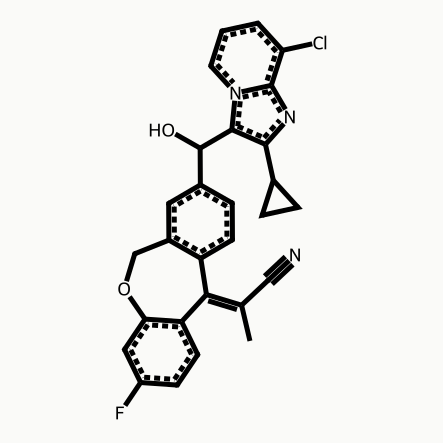 C/C(C#N)=C1/c2ccc(C(O)c3c(C4CC4)nc4c(Cl)cccn34)cc2COc2cc(F)ccc21